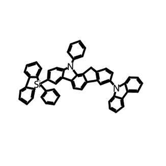 c1ccc(-n2c3ccc([Si]4(c5ccccc5)c5ccccc5-c5ccccc54)cc3c3ccc4c(c32)Cc2ccc(-n3c5ccccc5c5ccccc53)cc2-4)cc1